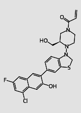 C=CC(=O)N1CCN(N2CSc3cc(-c4cc5cc(F)cc(Cl)c5cc4O)ccc32)[C@@H](CO)C1